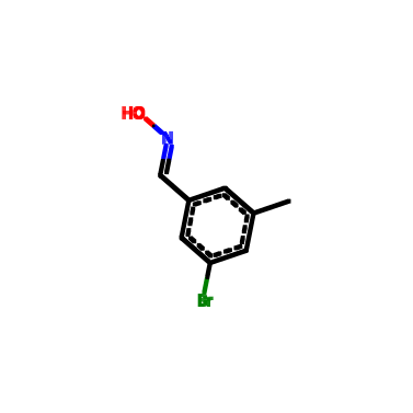 Cc1cc(Br)cc(C=NO)c1